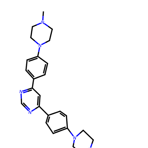 CN1CCN(c2ccc(-c3cc(-c4ccc(N5CCN(C)CC5)cc4)ncn3)cc2)CC1